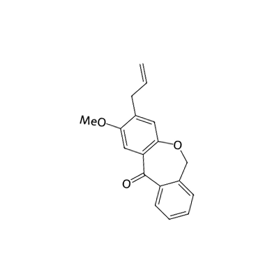 C=CCc1cc2c(cc1OC)C(=O)c1ccccc1CO2